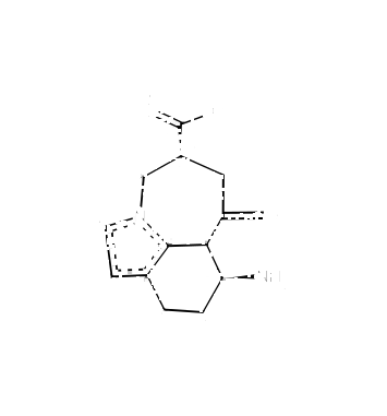 N[C@H]1CCc2ccn3c2C1C(=O)C[C@H](C(=O)O)C3